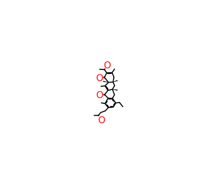 CCc1cc(CCC(C)=O)c(C)c2c1C[C@@]1(C)C[C@@]3(C)CC(C)=C(C(C)=O)C(=O)[C@@]3(C)C(C)=C1C2=O